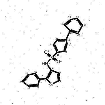 O=S(=O)(Nc1ccsc1-c1ccccc1)c1ccc(-c2ccccc2)cc1